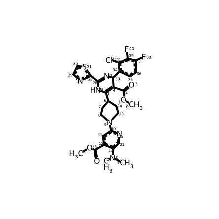 COC(=O)C1=C(C2CCN(c3cc(C(=O)OC)c(N(C)C)cn3)CC2)NC(c2nccs2)=NC1c1ccc(F)c(F)c1Cl